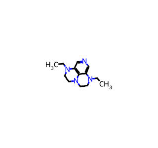 CCN1CCN2CCN(CC)c3cncc1c32